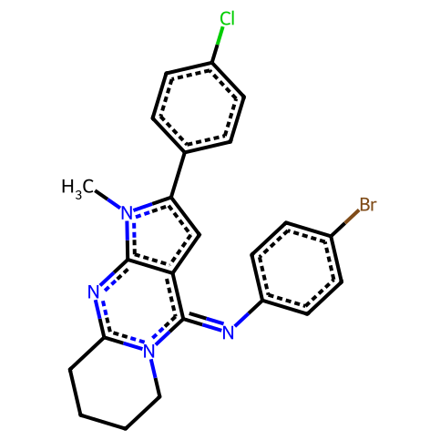 Cn1c(-c2ccc(Cl)cc2)cc2/c(=N\c3ccc(Br)cc3)n3c(nc21)CCCC3